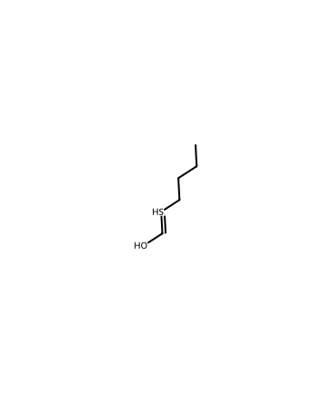 CCCC[SH]=[C]O